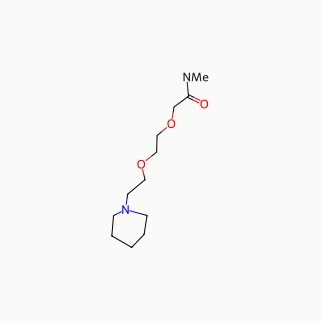 CNC(=O)COCCOCCN1CCCCC1